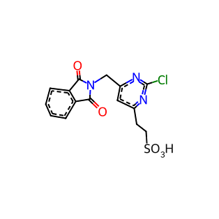 O=C1c2ccccc2C(=O)N1Cc1cc(CCS(=O)(=O)O)nc(Cl)n1